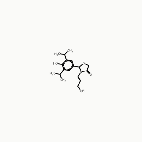 CC(C)c1cc(C2SCC(=O)N2CCCO)cc(C(C)C)c1O